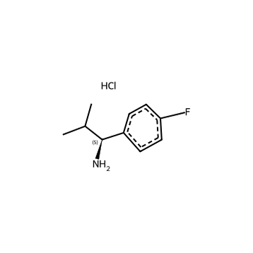 CC(C)[C@H](N)c1ccc(F)cc1.Cl